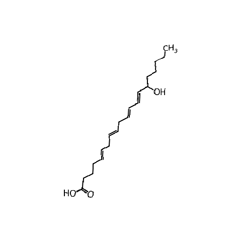 CCCCCC(O)C=CC=CCC=CCC=CCCCC(=O)O